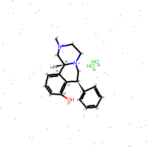 CN1CCN2C[C@@H](c3ccccc3)c3c(O)cccc3[C@@H]2C1.Cl.Cl